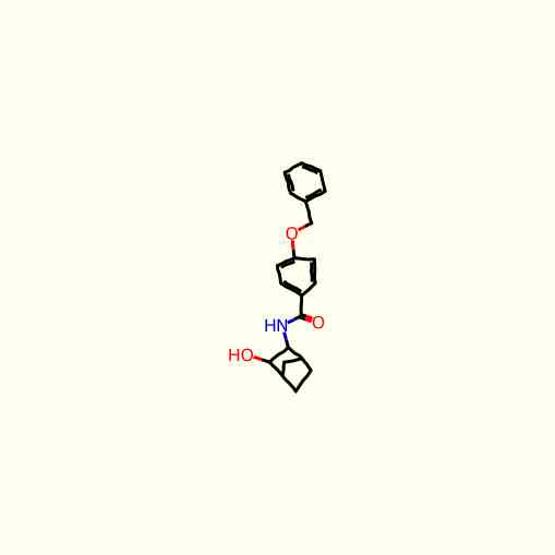 O=C(NC1C2CCC(C2)C1O)c1ccc(OCc2ccccc2)cc1